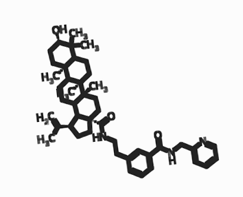 C=C(C)[C@@H]1CC[C@]2(C(=O)NCCc3cccc(C(=O)NCc4ccccn4)c3)CC[C@]3(C)C(CCC4[C@@]5(C)CC[C@H](O)C(C)(C)C5CC[C@]43C)C12